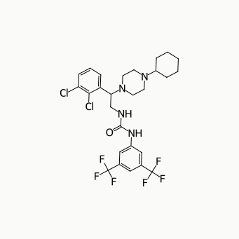 O=C(NCC(c1cccc(Cl)c1Cl)N1CCN(C2CCCCC2)CC1)Nc1cc(C(F)(F)F)cc(C(F)(F)F)c1